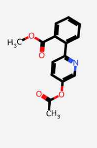 COC(=O)c1ccccc1-c1ccc(OC(C)=O)cn1